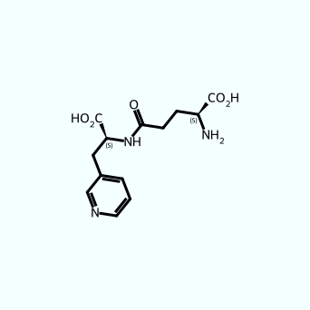 N[C@@H](CCC(=O)N[C@@H](Cc1cccnc1)C(=O)O)C(=O)O